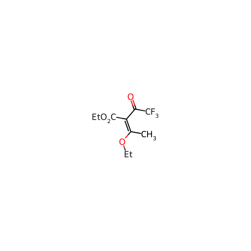 CCOC(=O)/C(C(=O)C(F)(F)F)=C(/C)OCC